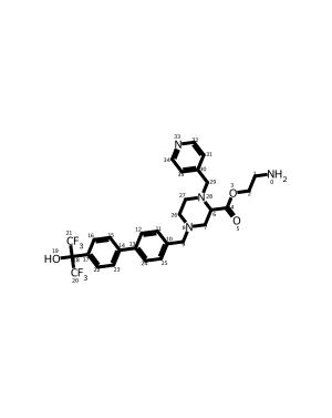 NCCOC(=O)C1CN(Cc2ccc(-c3ccc(C(O)(C(F)(F)F)C(F)(F)F)cc3)cc2)CCN1Cc1ccncc1